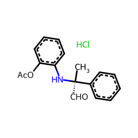 CC(=O)Oc1ccccc1N[C@](C)(C=O)c1ccccc1.Cl